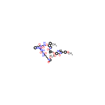 COc1ccc(C2=CN3C(=O)c4cc(OC)c(OCC5CC(C(=O)N6CCc7c6cc(OCNC(=O)CNC(=O)C(Cc6ccccc6)NC(=O)CNC(=O)CNC(=O)CCCCCN6C(=O)C=CC6=O)c6cccc(C)c76)C6CC5C6)cc4N=C[C@@H]3C2)cc1